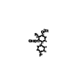 CCOc1ccc(-c2ccc(F)cc2)c(C=O)c1F